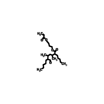 C=CC(=O)OCCCCOC(=O)C(CCCCC)C(C)CC(C)C(C=O)CCCCC